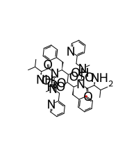 CC(C)[C@H](N)C(=O)N([C@@H](Cc1ccccc1)C(O)C(O)[C@H](Cc1ccccc1)N(C(=O)[C@@H](N)C(C)C)S(=O)(=O)N(C)Cc1ccccn1)S(=O)(=O)N(C)Cc1ccccn1